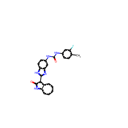 Cc1ccc(NC(=O)Nc2ccc3[nH]c(-c4c5cccccc-5[nH]c4=O)nc3c2)cc1F